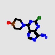 Nc1ncnc2c(N3CC[S+]([O-])CC3)nc(Cl)nc12